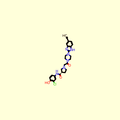 C#Cc1ccc2[nH]c(N3CCN(C(=O)CN4CC[C@@H](C(=O)Nc5ccc(O)c(Cl)c5)C4)CC3)nc2c1